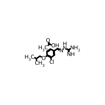 CC(=O)O.CC(C)COc1ccc(C=NNC(=N)N)cc1Cl